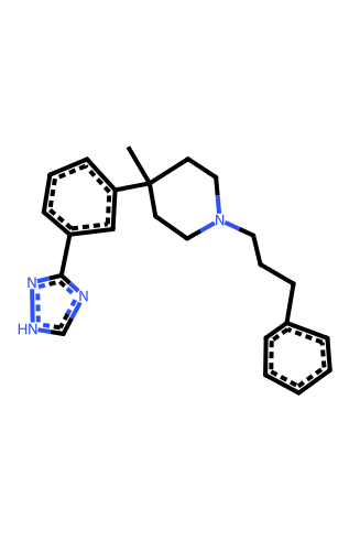 CC1(c2cccc(-c3nc[nH]n3)c2)CCN(CCCc2ccccc2)CC1